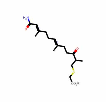 C/C(=C\C(N)=O)CC/C=C(\C)CCC(=O)C(C)CSCC(=O)O